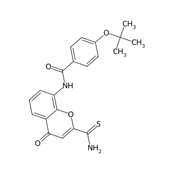 CC(C)(C)Oc1ccc(C(=O)Nc2cccc3c(=O)cc(C(N)=S)oc23)cc1